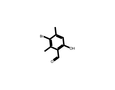 Cc1cc(O)c(C=O)c(C)c1Br